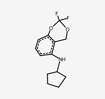 FC1(F)O[CH]c2c(NC3CCCC3)cccc2O1